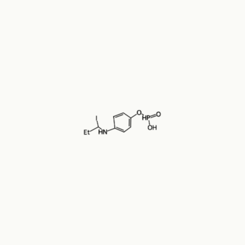 CCC(I)Nc1ccc(O[PH](=O)O)cc1